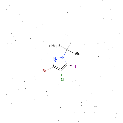 CCCCCCCC(C)(CCCC)n1nc(Br)c(Cl)c1I